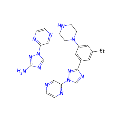 CCc1cc(-c2ncn(-c3cnccn3)n2)cc(N2CCNCC2)c1.Nc1ncn(-c2cnccn2)n1